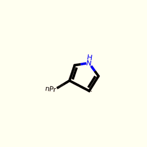 CCCc1[c]c[nH]c1